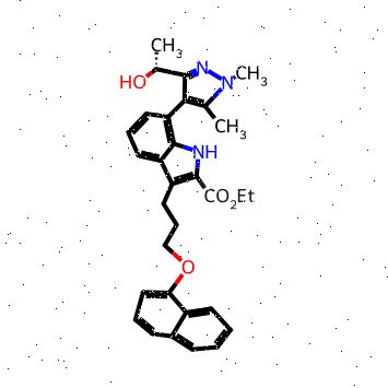 CCOC(=O)c1[nH]c2c(-c3c([C@@H](C)O)nn(C)c3C)cccc2c1CCCOc1cccc2ccccc12